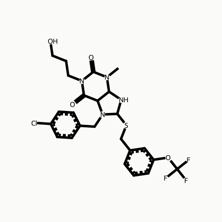 CN1C(=O)N(CCCO)C(=O)C2C1NC(SCc1cccc(OC(F)(F)F)c1)N2Cc1ccc(Cl)cc1